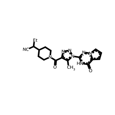 CCC(C#N)C1CCN(C(=O)c2nnn(-c3nn4cccc4c(=O)[nH]3)c2C)CC1